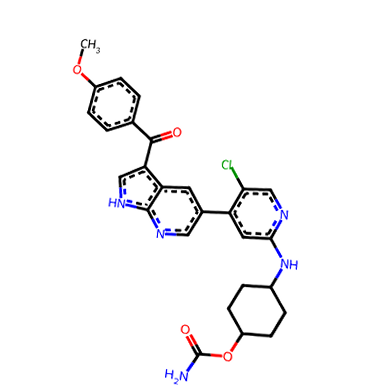 COc1ccc(C(=O)c2c[nH]c3ncc(-c4cc(NC5CCC(OC(N)=O)CC5)ncc4Cl)cc23)cc1